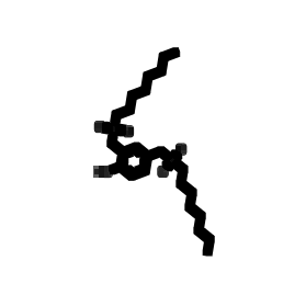 CCCCCCCCS(=O)(=O)Cc1ccc(O)c(CS(=O)(=O)CCCCCCCC)c1